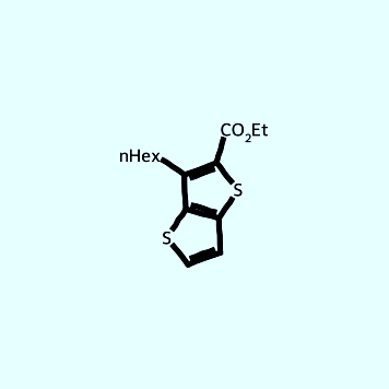 CCCCCCc1c(C(=O)OCC)sc2ccsc12